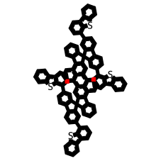 c1ccc2c(c1)-c1c(cc3c4cccc5c6c(cc(c7cccc1c73)c54)C1(c3cc(-c4cccc5c4sc4ccccc45)ccc3-c3ccc(-c4cccc5c4sc4ccccc45)cc31)c1ccccc1-6)C21c2cc(-c3cccc4c3sc3ccccc34)ccc2-c2ccc(-c3cccc4c3sc3ccccc34)cc21